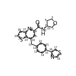 O=C(N[C@H]1CCOC1)c1cc(Cc2ccc(-c3cscn3)cc2)c2sccc2n1